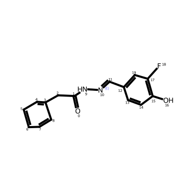 O=C(Cc1ccccc1)N/N=C/c1ccc(O)c(F)c1